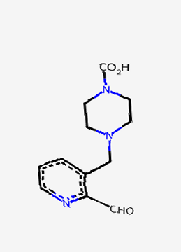 O=Cc1ncccc1CN1CCN(C(=O)O)CC1